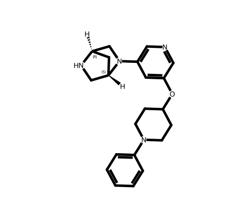 c1ccc(N2CCC(Oc3cncc(N4C[C@H]5C[C@H]4CN5)c3)CC2)cc1